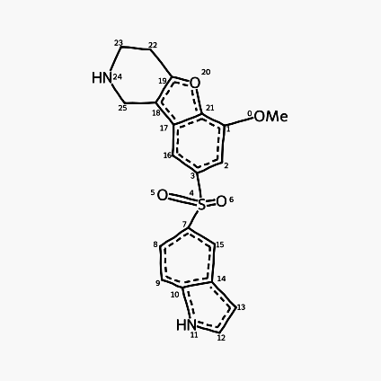 COc1cc(S(=O)(=O)c2ccc3[nH]ccc3c2)cc2c3c(oc12)CCNC3